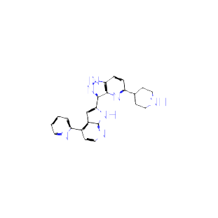 c1ccc(-c2ccnc3[nH]c(-c4n[nH]c5ccc(C6CCNCC6)nc45)cc23)nc1